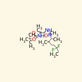 C=C(CCC(F)(F)CC)C(C)N(C)OC(=N)[C@H](C)NC(=O)OC(C)(C)C